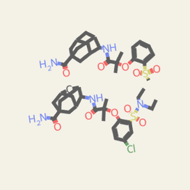 CC(C)(Oc1ccccc1S(C)(=O)=O)C(=O)NC1C2CC3CC1CC(C(N)=O)(C3)C2.CCN(CC)S(=O)(=O)c1cc(Cl)ccc1OC(C)(C)C(=O)NC1C2CC3CC1CC(C(N)=O)(C3)C2